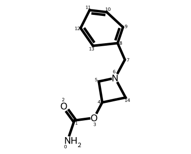 NC(=O)OC1CN(Cc2ccccc2)C1